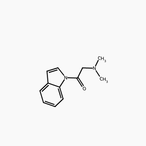 CN(C)CC(=O)n1ccc2ccccc21